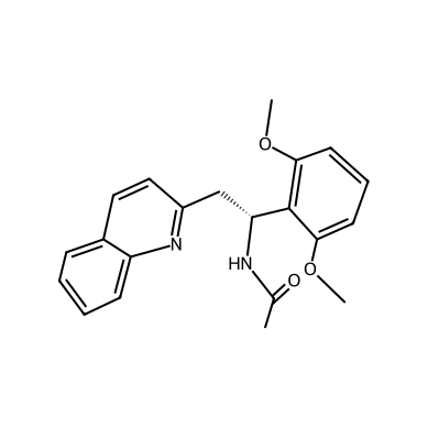 COc1cccc(OC)c1[C@@H](Cc1ccc2ccccc2n1)NC(C)=O